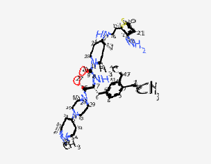 CCc1ccc(C[C@@H](NC(=O)N2CCC(NCCc3sccc3N)CC2)C(=O)N2CCN(C3CCN(C)CC3)CC2)cc1CC